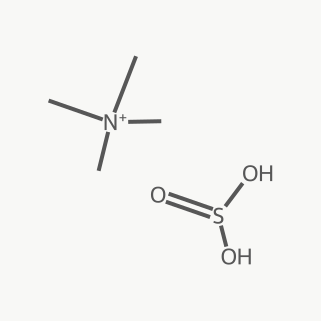 C[N+](C)(C)C.O=S(O)O